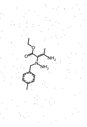 CCOC(=O)/C(=C(\C)N)N(N)Cc1ccc(C)cc1